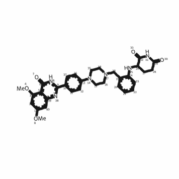 COc1cc(OC)c2c(=O)[nH]c(-c3ccc(N4CCN(Cc5ccccc5NC5CCC(=O)NC5=O)CC4)cc3)nc2c1